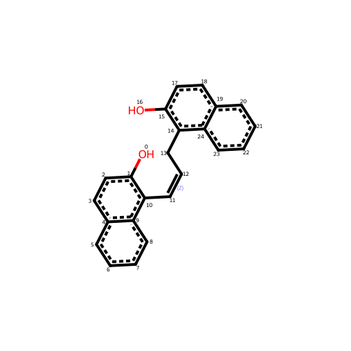 Oc1ccc2ccccc2c1/C=C\Cc1c(O)ccc2ccccc12